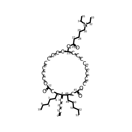 C=C=C=C=C1C(CCCCC)CC(=O)OCCCCCCCCC(OC(=O)CCCCN(CC)CC)CCCCCCCCOC(=O)CC1CCCCC